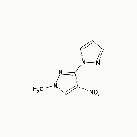 Cn1cc([N+](=O)[O-])c(-n2cccn2)n1